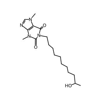 CC(O)CCCCCCCCCn1c(=O)c2c(ncn2C)n(C)c1=O